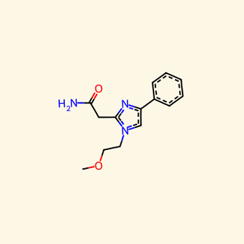 COCCn1cc(-c2ccccc2)nc1CC(N)=O